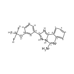 Nc1nc2ccccc2c2nc(-c3cccc(OC(F)(F)F)c3)nn12